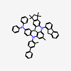 Cc1cc2c3c(c1)N(c1cccc4c1Cc1ccccc1-4)c1cc4c(cc1B3c1cc(N(c3ccccc3)c3ccccc3)ccc1N2c1ccc(-c2ccccc2)cc1C)C(C)(C)CC4(C)C